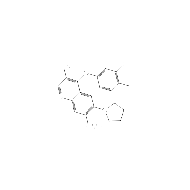 COc1cc2ncc(C#N)c(Nc3ccc(F)c(Cl)c3)c2cc1N1CCCC1